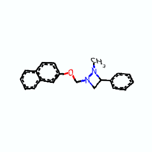 CN1C(c2ccccc2)CN1COc1ccc2ccccc2c1